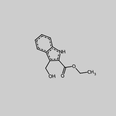 CCOC(=O)c1[nH]c2ccccc2c1CO